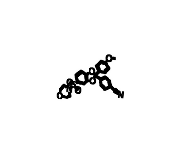 COc1ccc(C2(c3ccc(C#N)cc3)Oc3ccc(S(=O)(=O)N4CCOCC4)cc3O2)cc1